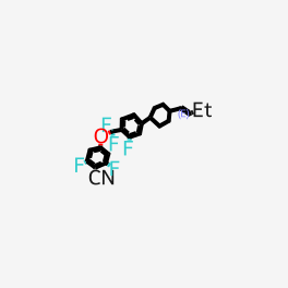 CC/C=C/C1CCC(c2ccc(C(F)(F)Oc3cc(F)c(C#N)c(F)c3)c(F)c2)CC1